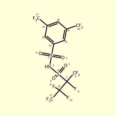 O=S(=O)(NS(=O)(=O)C(F)(C(F)(F)F)C(F)(F)C(F)(F)F)c1cc(C(F)(F)F)cc(C(F)(F)F)c1